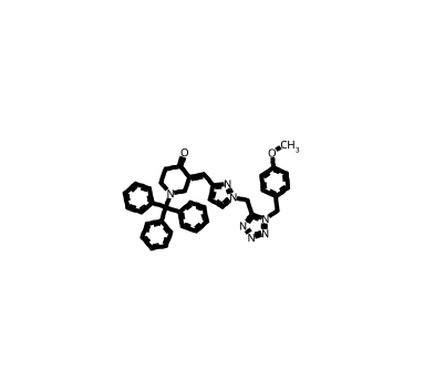 COc1ccc(Cn2nnnc2Cn2ccc(/C=C3\CN(C(c4ccccc4)(c4ccccc4)c4ccccc4)CCC3=O)n2)cc1